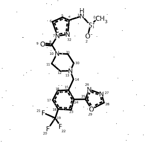 C[S+]([O-])Nc1ccn(C(=O)N2CCN(Cc3ccc(C(F)(F)F)cc3-c3nnco3)CC2)n1